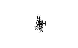 COc1ccc(NS(=O)(=O)c2ccc3ccccc3c2)c2c1C[C@@H](N(C)C)CO2